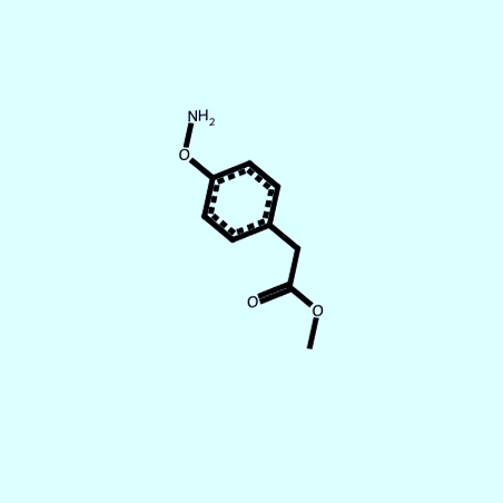 COC(=O)Cc1ccc(ON)cc1